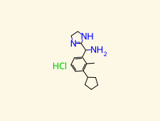 Cc1c(C2CCCC2)cccc1C(N)C1=NCCN1.Cl